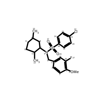 COc1ccc(CN(C2CC(C)CCC2C)S(=O)(=O)c2ccc(Cl)cc2)cc1F